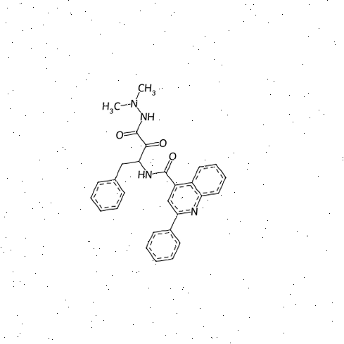 CN(C)NC(=O)C(=O)C(Cc1ccccc1)NC(=O)c1cc(-c2ccccc2)nc2ccccc12